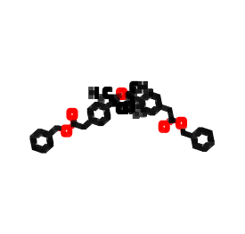 C[Si](C)(O[Si](C)(C)c1ccc(CC(=O)OCc2ccccc2)cc1)c1ccc(CC(=O)OCc2ccccc2)cc1